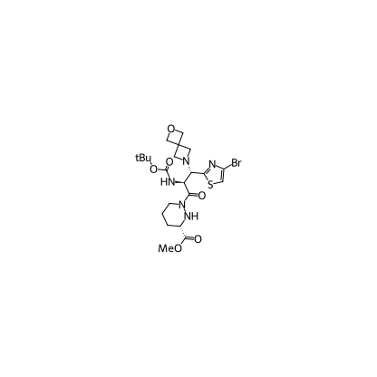 COC(=O)[C@@H]1CCCN(C(=O)[C@@H](NC(=O)OC(C)(C)C)[C@@H](c2nc(Br)cs2)N2CC3(COC3)C2)N1